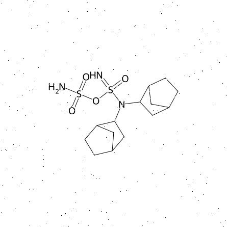 N=S(=O)(OS(N)(=O)=O)N(C1CC2CCC1C2)C1CC2CCC1C2